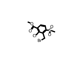 COC(=O)c1ccc(S(C)(=O)=O)c(CBr)c1Cl